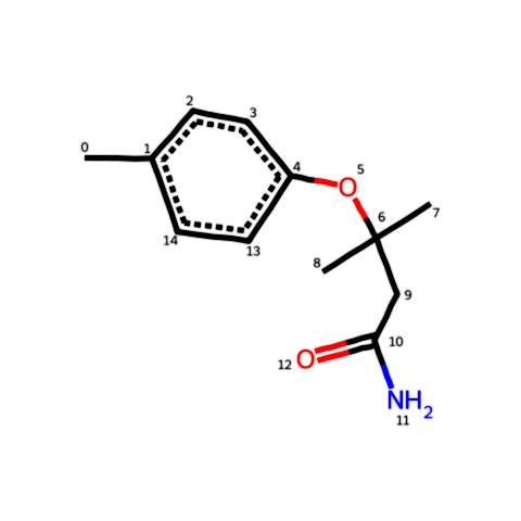 Cc1ccc(OC(C)(C)CC(N)=O)cc1